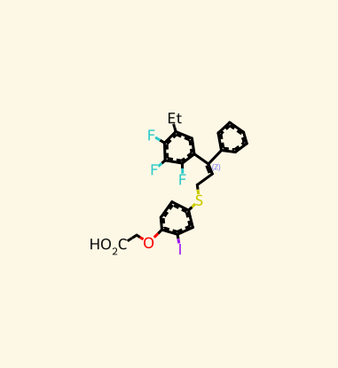 CCc1cc(/C(=C\CSc2ccc(OCC(=O)O)c(I)c2)c2ccccc2)c(F)c(F)c1F